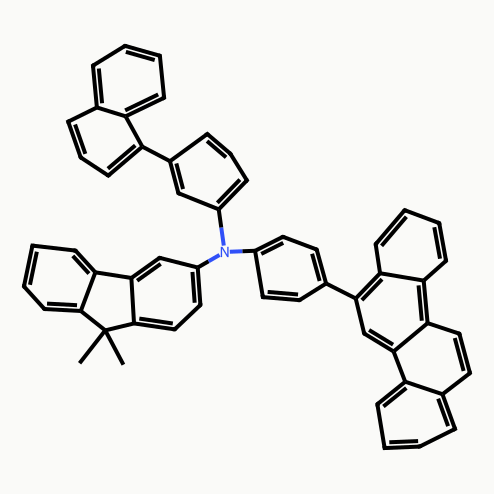 CC1(C)c2ccccc2-c2cc(N(c3ccc(-c4cc5c6ccccc6ccc5c5ccccc45)cc3)c3cccc(-c4cccc5ccccc45)c3)ccc21